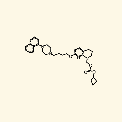 O=C(OCN1CCCc2ccc(OCCCCN3CCN(c4cccc5ccccc45)CC3)nc21)OC1CCC1